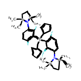 C[Si]1(C)CC[Si](C)(C)N1c1ccc(F)[c]([Ti]([c]2c(F)ccc(N3[Si](C)(C)CC[Si]3(C)C)c2F)([CH]2C=CC=C2)[CH]2C=CC=C2)c1F